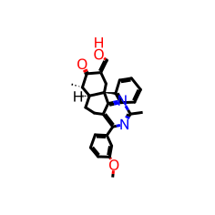 COc1cccc(-c2nc(C)nc3c2CC[C@H]2[C@H](C)C(=O)/C(=C\O)C[C@]32c2ccccc2)c1